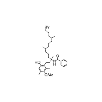 COc1c(C)cc(O)c(CCC(C)(CCCC(C)CCCC(C)CCCC(C)C)NC(=O)c2ccccc2)c1C